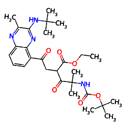 CCOC(=O)C(CC(=O)c1cccc2nc(C)c(NC(C)(C)C)nc12)C(=O)C(C)(C)NC(=O)OC(C)(C)C